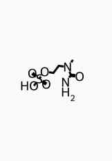 CN(CCOS(=O)(=O)O)C(N)=O